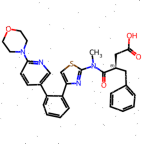 CN(C(=O)[C@@H](CC(=O)O)Cc1ccccc1)c1nc(-c2ccccc2-c2ccc(N3CCOCC3)nc2)cs1